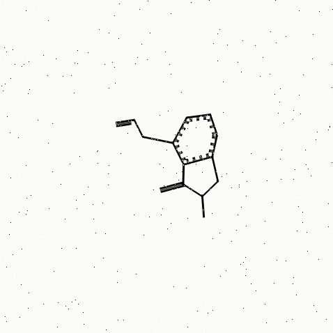 C=CCc1cccc2c1C(=O)C(C)C2